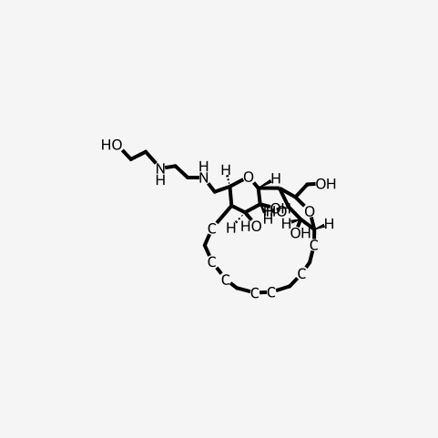 OCCNCCNC[C@H]1O[C@@H]2C3C(CO)O[C@H](CCCCCCCCCCCC1[C@H](O)[C@H]2O)[C@H](O)[C@H]3O